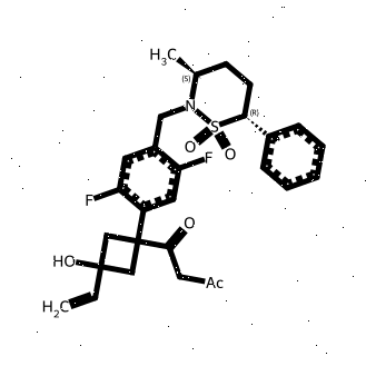 C=CC1(O)CC(C(=O)CC(C)=O)(c2cc(F)c(CN3[C@@H](C)CC[C@H](c4ccccc4)S3(=O)=O)cc2F)C1